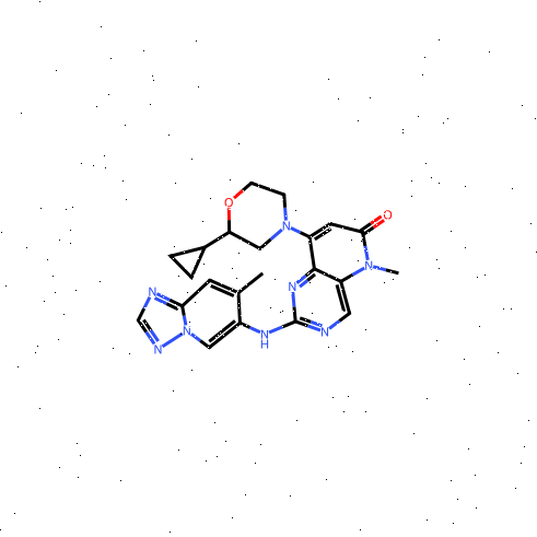 Cc1cc2ncnn2cc1Nc1ncc2c(n1)c(N1CCOC(C3CC3)C1)cc(=O)n2C